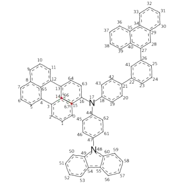 c1ccc(-c2cccc3cccc(-c4ccc(N(c5ccc(-c6cccc(-c7cc8ccccc8c8ccccc78)c6)cc5)c5ccc(-n6c7ccccc7c7ccccc76)cc5)cc4)c23)cc1